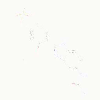 COc1cc(OS(C)(=O)=O)ccc1-c1nc2cc(NC(N)=O)ccc2[nH]1